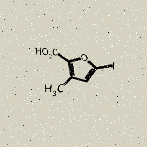 Cc1cc(I)oc1C(=O)O